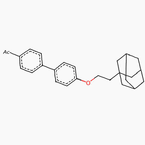 CC(=O)c1ccc(-c2ccc(OCCC34CC5CC(CC(C5)C3)C4)cc2)cc1